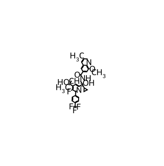 COc1cc(C(=O)NC[C@](O)(c2cc(C(C)(C)O)c(F)c(-c3ccc(C(F)(F)F)cc3)n2)C2CC2)cc2cc(C)cnc12